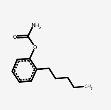 CCCCCc1ccccc1OC(N)=O